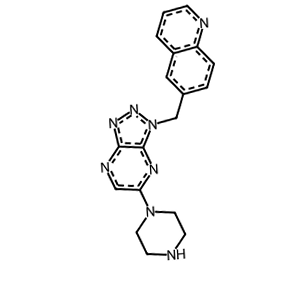 c1cnc2ccc(Cn3nnc4ncc(N5CCNCC5)nc43)cc2c1